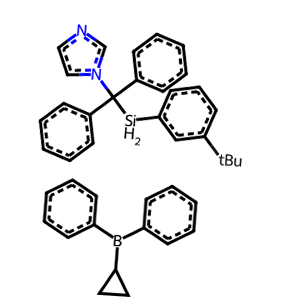 CC(C)(C)c1cccc([SiH2]C(c2ccccc2)(c2ccccc2)n2ccnc2)c1.c1ccc(B(c2ccccc2)C2CC2)cc1